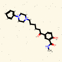 CNC(=O)c1cc(C(=O)CCCCCN2CCN(c3ccccc3)CC2)ccc1O